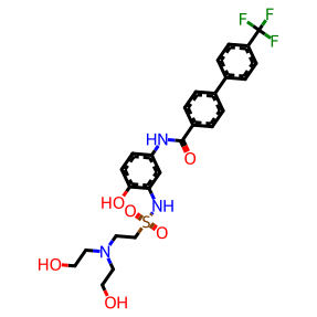 O=C(Nc1ccc(O)c(NS(=O)(=O)CCN(CCO)CCO)c1)c1ccc(-c2ccc(C(F)(F)F)cc2)cc1